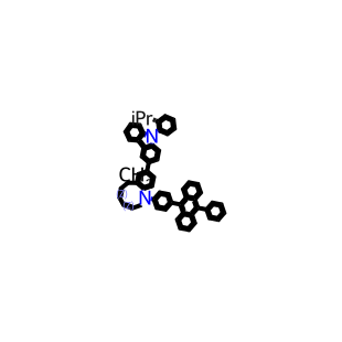 C=C1/C=C\C=C/CN(c2ccc(-c3c4ccccc4c(-c4ccccc4)c4ccccc34)cc2)c2ccc(-c3ccc4c(c3)c3ccccc3n4-c3ccccc3C(C)C)cc21